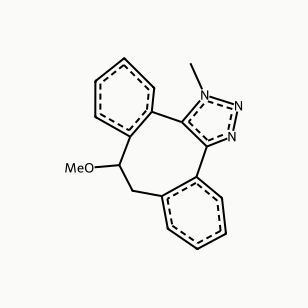 COC1Cc2ccccc2-c2nnn(C)c2-c2ccccc21